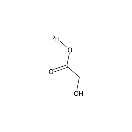 [2H]OC(=O)CO